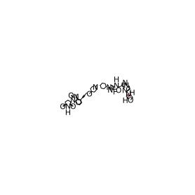 Cn1c(=O)n(C2CCC(=O)NC2=O)c2cccc(C#CCOC3CCN(C[C@H]4CC[C@H](n5cc(NC(=O)c6cnn7ccc(N8C[C@H]9C[C@@H]8CO9)nc67)c(F)n5)CC4)CC3)c21